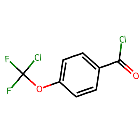 O=C(Cl)c1ccc(OC(F)(F)Cl)cc1